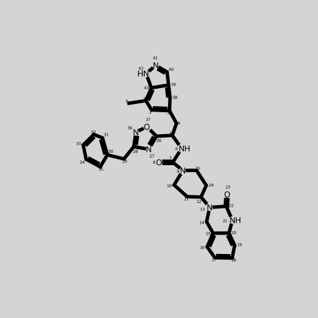 Cc1cc(CC(NC(=O)N2CCC(N3Cc4ccccc4NC3=O)CC2)c2nc(Cc3ccccc3)no2)cc2cn[nH]c12